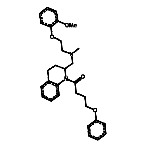 COc1ccccc1OCCN(C)CC1CCc2ccccc2N1C(=O)CCCOc1ccccc1